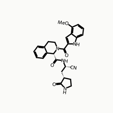 COc1cccc2[nH]c(C(=O)N3CCc4ccccc4[C@H]3C(=O)N[C@H](C#N)C[C@@H]3CCNC3=O)cc12